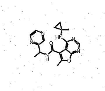 Cc1oc2ncnc(NC3(C)CC3)c2c1C(=O)NC(C)c1cnccn1